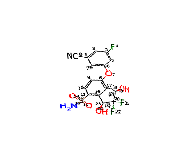 N#Cc1cc(F)cc(Oc2ccc(S(N)(=O)=O)c3c2[C@@H](O)C(F)(F)[C@H]3O)c1